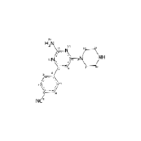 N#Cc1ccc(-c2cc(N3CCNCC3)nc(N)n2)cc1